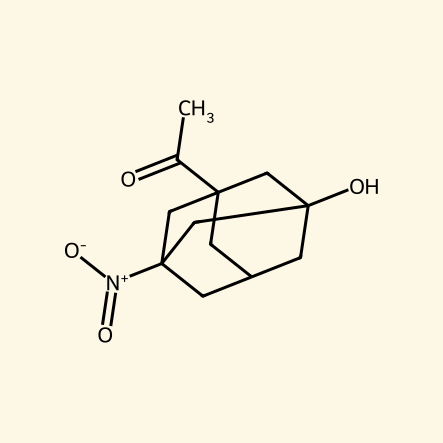 CC(=O)C12CC3CC(O)(C1)CC([N+](=O)[O-])(C3)C2